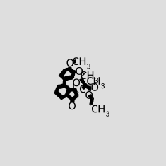 CCCOC(=O)C(C)(C)COc1c(-c2cccc3c2CCC3=O)ccc(OC)c1OC